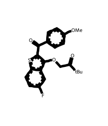 COc1ccc(C(=O)c2sc3ccc(F)cc3c2OCC(=O)C(C)(C)C)cc1